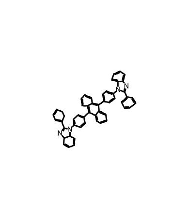 C1=CCCC(C2=NC3C=CC=CC3N2c2ccc(-c3c4ccccc4c(-c4ccc(-n5c(-c6ccccc6)nc6ccccc65)cc4)c4ccccc34)cc2)=C1